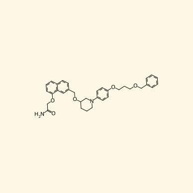 NC(=O)COc1cccc2ccc(COC3CCCN(c4ccc(OCCCOCc5ccccc5)cc4)C3)cc12